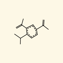 C=C(C)c1ccc(C(C)C)c(C(=C)C)c1